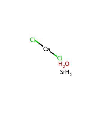 O.[Cl][Ca][Cl].[SrH2]